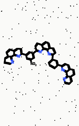 O=[N+]([O-])c1cc(-c2ccc3ccc4cccnc4c3n2)cc(-c2ccc3ccc4ccc(-c5cccc(-c6ccc7ccc8cccnc8c7n6)c5)nc4c3n2)c1